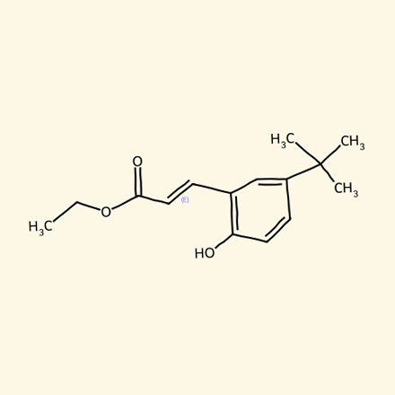 CCOC(=O)/C=C/c1cc(C(C)(C)C)ccc1O